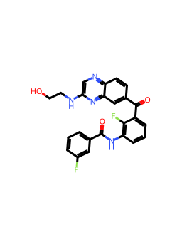 O=C(Nc1cccc(C(=O)c2ccc3ncc(NCCO)nc3c2)c1F)c1cccc(F)c1